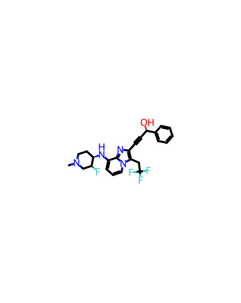 CN1CC[C@@H](Nc2cccn3c(CC(F)(F)F)c(C#C[C@@H](O)c4ccccc4)nc23)[C@@H](F)C1